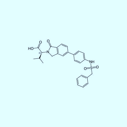 CC(C)[C@@H](C(=O)O)N1Cc2cc(-c3ccc(NS(=O)(=O)Cc4ccccc4)cc3)ccc2C1=O